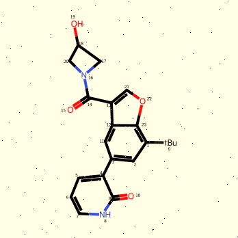 CC(C)(C)c1cc(-c2ccc[nH]c2=O)cc2c(C(=O)N3CC(O)C3)coc12